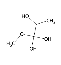 [CH2]OC(O)(O)C(C)O